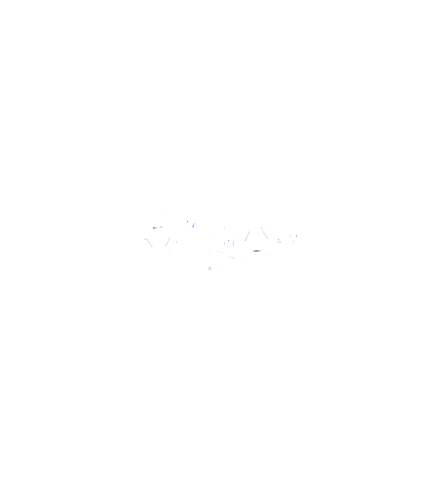 CCCS(=O)(=O)N(CCCN1CCc2ccccc2C1)c1ccc(OC)cc1